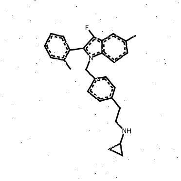 Cc1ccc2c(c1)c(F)c(-c1ccccc1C)n2Cc1ccc(CCNC2CC2)cc1